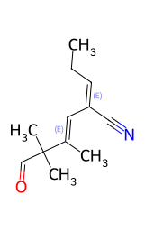 CC/C=C(C#N)\C=C(/C)C(C)(C)C=O